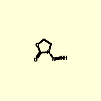 N=NN1CCOC1=O